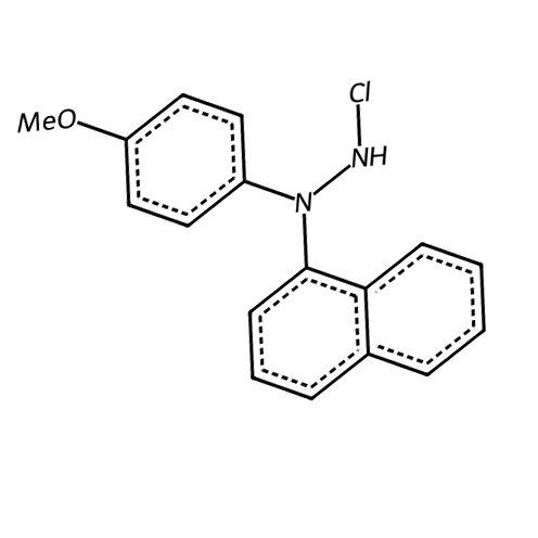 COc1ccc(N(NCl)c2cccc3ccccc23)cc1